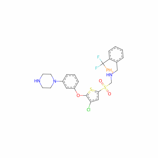 O=S(=O)(CNCc1ccccc1C(F)(F)P)c1cc(Cl)c(Oc2cccc(N3CCNCC3)c2)s1